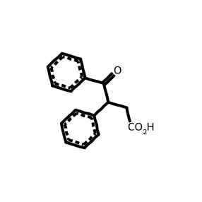 O=C(O)CC(C(=O)c1ccccc1)c1ccccc1